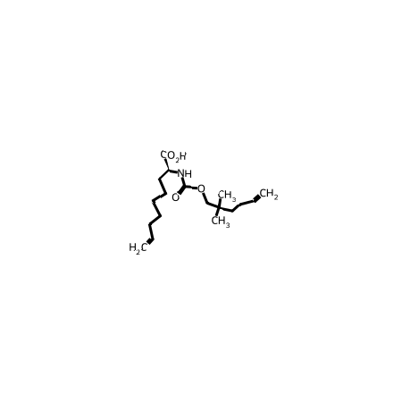 C=CCCCCC[C@H](NC(=O)OCC(C)(C)CCC=C)C(=O)O